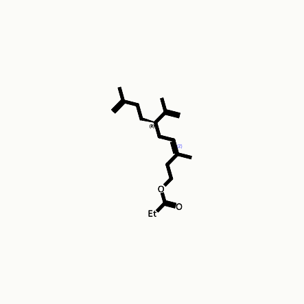 C=C(C)CC[C@H](C/C=C(/C)CCOC(=O)CC)C(=C)C